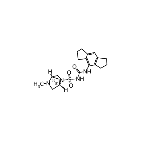 CN1C[C@@H]2C[C@H]1CN2S(=O)(=O)NC(=O)Nc1c2c(cc3c1CCC3)CCC2